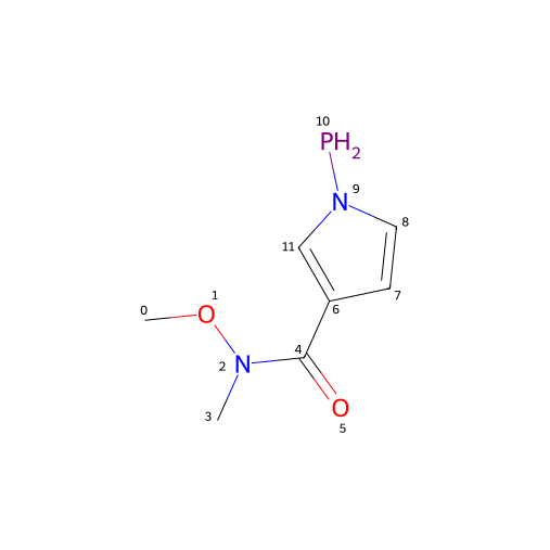 CON(C)C(=O)c1ccn(P)c1